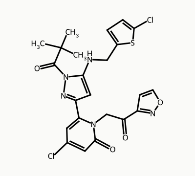 CC(C)(C)C(=O)n1nc(-c2cc(Cl)cc(=O)n2CC(=O)c2ccon2)cc1NCc1ccc(Cl)s1